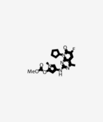 COC(=O)Oc1cc(Nc2nc(C)c3cc(F)c(=O)n(C4CCCC4)c3n2)cn1C